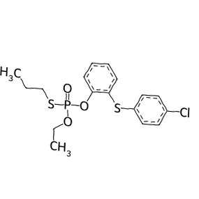 CCCSP(=O)(OCC)Oc1ccccc1Sc1ccc(Cl)cc1